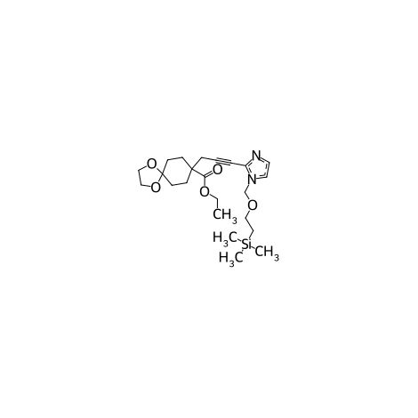 CCOC(=O)C1(CC#Cc2nccn2COCC[Si](C)(C)C)CCC2(CC1)OCCO2